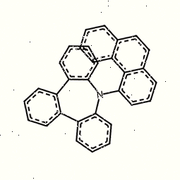 c1ccc2c(c1)-c1ccccc1N(c1cccc3ccc4ccccc4c13)c1ccccc1-2